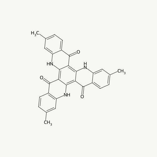 Cc1ccc2c(=O)c3c4[nH]c5cc(C)ccc5c(=O)c4c4[nH]c5cc(C)ccc5c(=O)c4c3[nH]c2c1